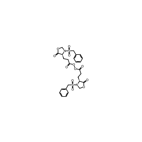 O=C(CC[C@H]1C(=O)OCN1S(=O)(=O)Cc1ccccc1)OOC(=O)CC[C@H]1C(=O)OCN1S(=O)(=O)Cc1ccccc1